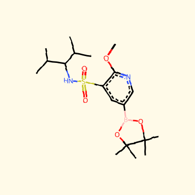 COc1ncc(B2OC(C)(C)C(C)(C)O2)cc1S(=O)(=O)NC(C(C)C)C(C)C